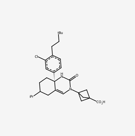 CC(C)C1CC[C@@]2(c3ccc(CCC(C)(C)C)c(Cl)c3)NC(=O)N(C34CC(C(=O)O)(C3)C4)C=C2C1